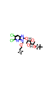 CC(C)(C)[Si](C)(C)O[C@@H]1CO[C@H]2[C@@H]1OC[C@H]2Oc1nc2cc(Cl)c(Cl)nc2n1COCC[Si](C)(C)C